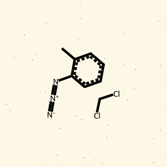 Cc1ccccc1N=[N+]=[N-].ClCCl